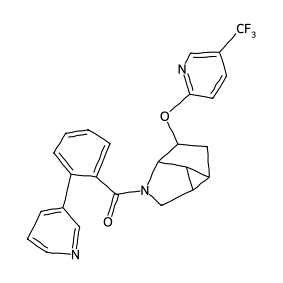 O=C(c1ccccc1-c1cccnc1)N1CC2C3CC(Oc4ccc(C(F)(F)F)cn4)C1C32